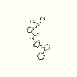 N#CC[C@H](O)Cn1cccc1C(=O)Nc1nc([C@H]2CCCN2c2ccccc2)cs1